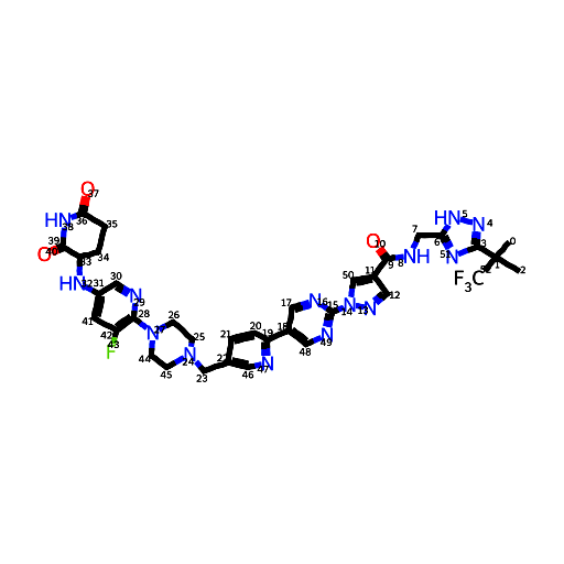 CC(C)(c1n[nH]c(CNC(=O)c2cnn(-c3ncc(-c4ccc(CN5CCN(c6ncc(NC7CCC(=O)NC7=O)cc6F)CC5)cn4)cn3)c2)n1)C(F)(F)F